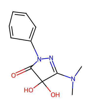 CN(C)C1=NN(c2ccccc2)C(=O)C1(O)O